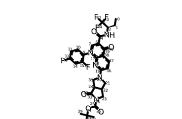 CC[C@@H](NC(=O)c1cn(-c2ccc(F)cc2F)c2nc(N3CC4CN(C(=O)OC(C)(C)C)C(=O)C4C3)ccc2c1=O)C(F)(F)F